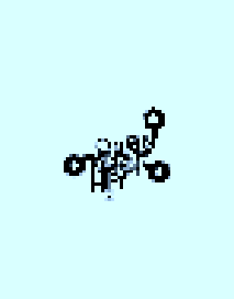 CCC[C@@H](C(=O)[NH+]([O-])[C@H](C=NCC1CCCCC1)Cc1ccccc1)N(C(=O)CC(C)C)C(=O)[C@@H](N)Cc1ccccc1